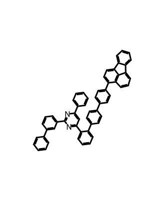 c1ccc(-c2cccc(-c3nc(-c4ccccc4)cc(-c4ccccc4-c4ccc(-c5ccc(-c6ccc7c8c(cccc68)-c6ccccc6-7)cc5)cc4)n3)c2)cc1